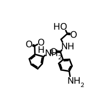 Nc1ccc(C(=O)NCC(=O)O)cc1.Nc1ccccc1C(=O)O